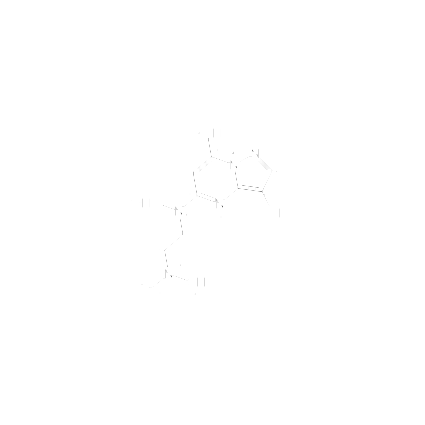 Cc1cnn2c(C)cc(N(C=O)CCN(C)C(C)C)nc12